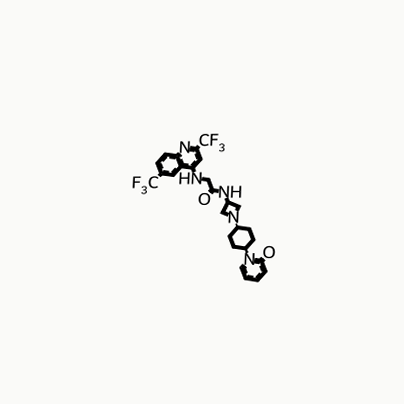 O=C(CNc1cc(C(F)(F)F)nc2ccc(C(F)(F)F)cc12)NC1CN([C@H]2CC[C@H](n3ccccc3=O)CC2)C1